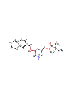 CC(C)(C)C(=O)OCC1CNCC(OCc2ccc3ccccc3c2)C1